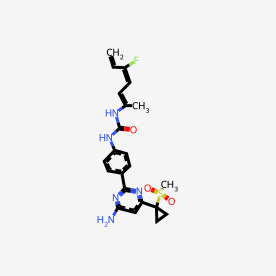 C=C/C(F)=C\C=C(/C)NC(=O)Nc1ccc(-c2nc(N)cc(C3(S(C)(=O)=O)CC3)n2)cc1